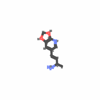 CC(N)/C=C/c1cnc2c(c1)OCO2